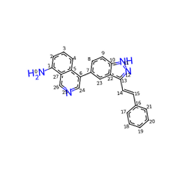 Nc1cccc2c(-c3ccc4[nH]nc(C=Cc5ccccc5)c4c3)cncc12